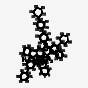 CC12C=C3c4ccccc4N(c4cccc(-c5ccccc5)c4)C3(C)C3=C1C(C)(C=C1c4ccccc4C(C)(C)C13C)N(c1ccc(-c3ccc(C4CCCCC4)cc3)cc1)c1cc(C3CCCCC3)c3ccccc3c12